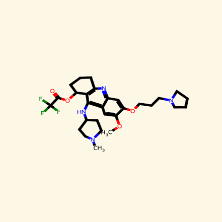 COc1cc2c(NC3CCN(C)CC3)c3c(nc2cc1OCCCN1CCCC1)CCCC3OC(=O)C(F)(F)F